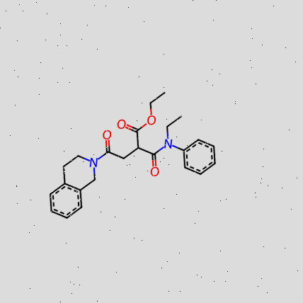 CCOC(=O)C(CC(=O)N1CCc2ccccc2C1)C(=O)N(CC)c1ccccc1